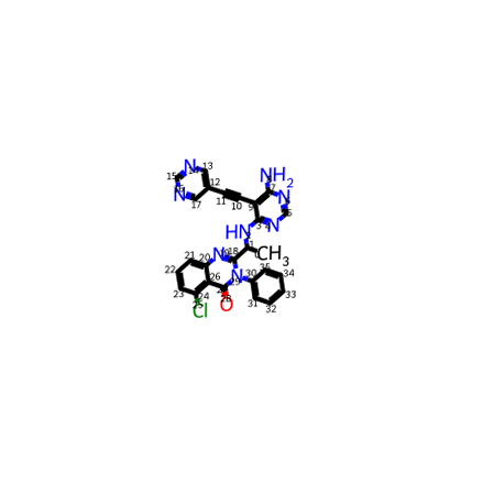 CC(Nc1ncnc(N)c1C#Cc1cncnc1)c1nc2cccc(Cl)c2c(=O)n1-c1ccccc1